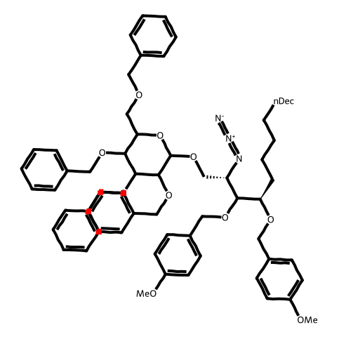 CCCCCCCCCCCCCC[C@@H](OCc1ccc(OC)cc1)C(OCc1ccc(OC)cc1)[C@H](COC1OC(COCc2ccccc2)C(OCc2ccccc2)C(OCc2ccccc2)C1OCc1ccccc1)N=[N+]=[N-]